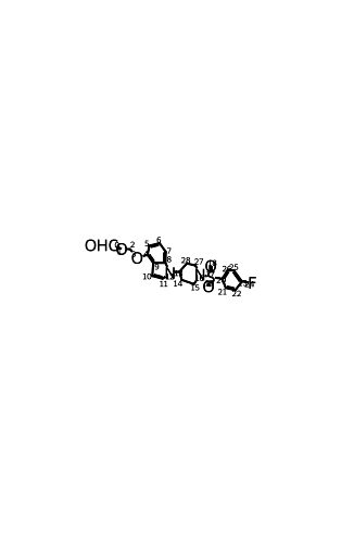 O=COCOc1cccc2c1ccn2C1CCN(S(=O)(=O)c2ccc(F)cc2)CC1